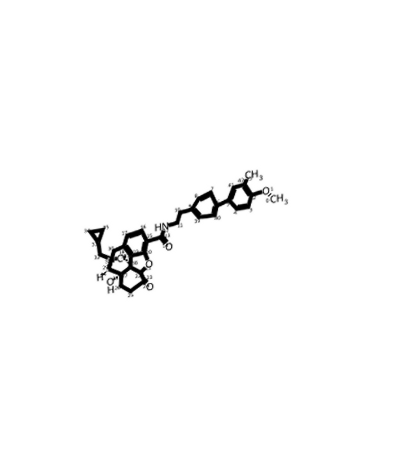 COc1ccc(-c2ccc(CCNC(=O)c3ccc4c5c3OC3C(=O)CC[C@@]6(O)[C@@H](C4)N(CC4CC4)CC[C@]536)cc2)cc1C